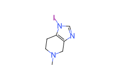 CN1CCc2c(ncn2I)C1